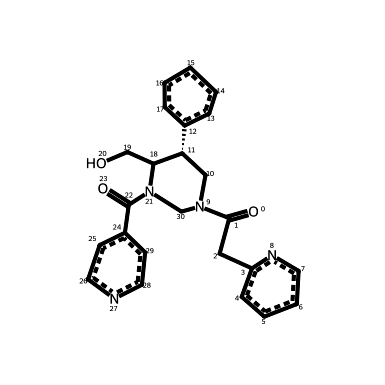 O=C(Cc1ccccn1)N1C[C@@H](c2ccccc2)C(CO)N(C(=O)c2ccncc2)C1